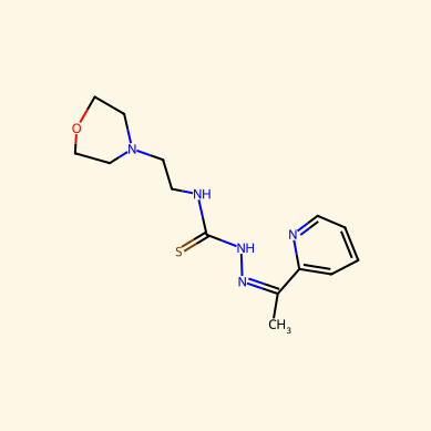 CC(=NNC(=S)NCCN1CCOCC1)c1ccccn1